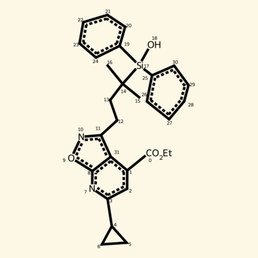 CCOC(=O)c1cc(C2CC2)nc2onc(CCC(C)(C)[Si](O)(c3ccccc3)c3ccccc3)c12